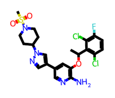 CC(Oc1cc(-c2cnn(C3CCN(S(C)(=O)=O)CC3)c2)cnc1N)c1c(Cl)ccc(F)c1Cl